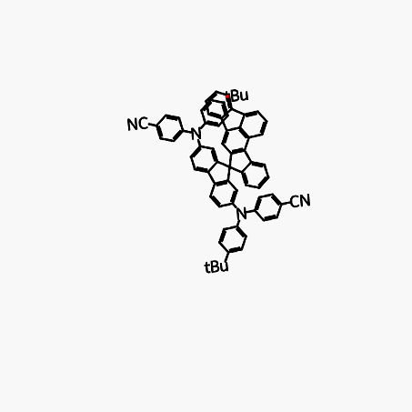 CC(C)(C)c1ccc(N(c2ccc(C#N)cc2)c2ccc3c(c2)C2(c4cc(N(c5ccc(C#N)cc5)c5ccc(C(C)(C)C)cc5)ccc4-3)c3ccccc3-c3c2cc2c4c(cccc34)-c3ccccc3-2)cc1